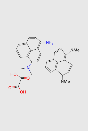 CN(C)C1C=Cc2c(N)ccc3cccc1c23.CNc1ccc2cccc3c2c1C=CC3NC.O=C(O)C(=O)O